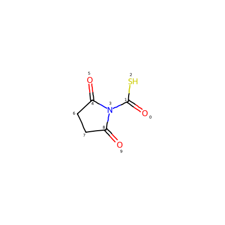 O=C(S)N1C(=O)CCC1=O